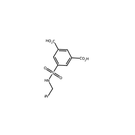 CC(C)CNS(=O)(=O)c1cc(C(=O)O)cc(C(=O)O)c1